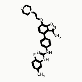 Cc1ccc(F)c(NC(=O)Nc2ccc(-c3ccc(OCCN4CCOCC4)c4onc(N)c34)cc2)c1